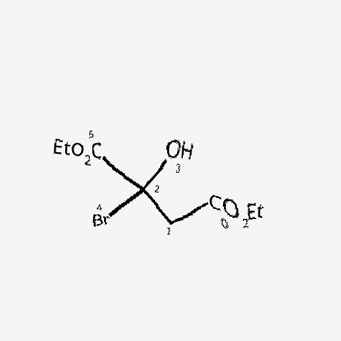 CCOC(=O)CC(O)(Br)C(=O)OCC